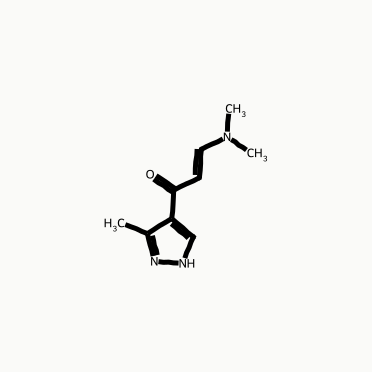 Cc1n[nH]cc1C(=O)/C=C/N(C)C